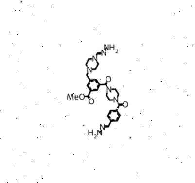 COC(=O)c1cc(CN2CCN(C=NN)CC2)cc(C(=O)N2CCN(C(=O)c3ccc(C=NN)cc3)CC2)c1